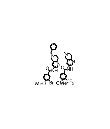 COc1ccc(C(=O)Nc2cnc3c(c2)CN(C)CC3)cc1C(F)(F)F.COc1ccc(C(=O)Nc2cnc3c(c2)CN(Cc2ccccc2)CC3)cc1Br